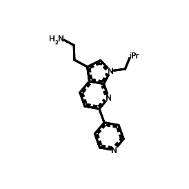 CC(C)Cn1cc(CCN)c2ccc(-c3ccncc3)nc21